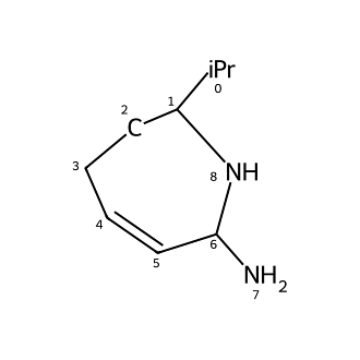 CC(C)C1CCC=CC(N)N1